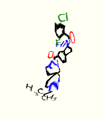 CC(C)CN1CCC2(CC1)CCN(C(=O)c1ccc3c(c1)C(NC(=O)c1cc(Cl)ccc1F)CC3)CC2